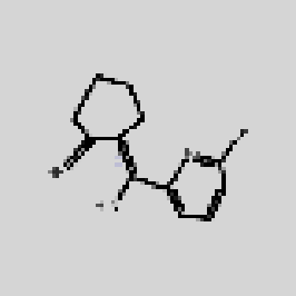 N=C1CCCC/C1=C(/N)c1cccc(Br)n1